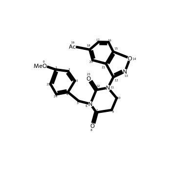 COc1ccc(CN2C(=O)CCN(c3noc4ccc(C(C)=O)cc34)C2=O)cc1